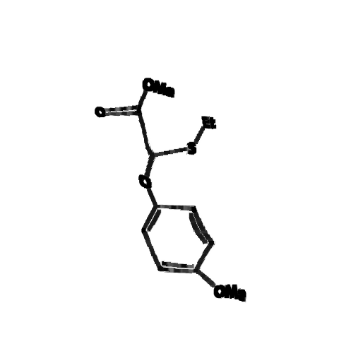 CCSC(Oc1ccc(OC)cc1)C(=O)OC